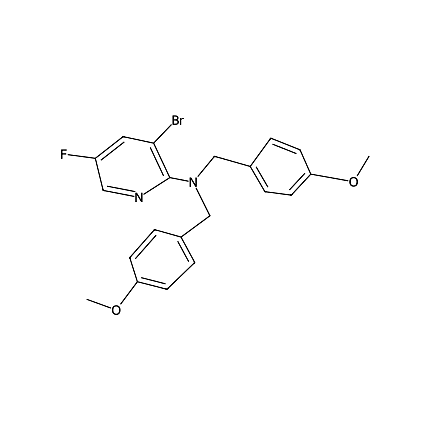 COc1ccc(CN(Cc2ccc(OC)cc2)c2ncc(F)cc2Br)cc1